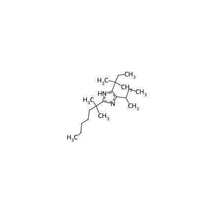 CCCCCC(C)(C)c1nc(C(C)CC)c(C(C)(C)CC)[nH]1